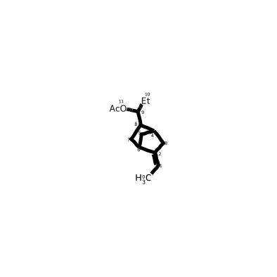 CC=C1CC2CC1CC2C(CC)OC(C)=O